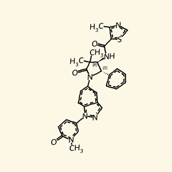 Cc1ncsc1C(=O)N[C@H]1[C@H](c2ccccc2)N(c2ccc3c(cnn3-c3ccc(=O)n(C)c3)c2)C(=O)C1(C)C